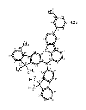 CC(C)(C)c1cc(-c2ccc3oc4c(N(c5ccc6c(c5)C(C)(C)c5ccccc5-6)c5ccc6c(c5)C(C)(C)c5cccc(C(C)(C)C)c5-6)cccc4c3c2)cc(C(C)(C)C)c1